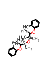 CCCC(Oc1ccccc1C#N)[Si](C)(C)O[Si](C)(C)C(CCC)Oc1ccccc1C#N